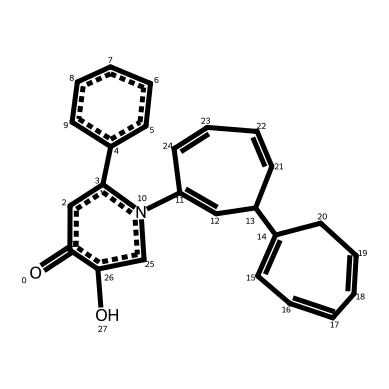 O=c1cc(-c2ccccc2)n(C2=CC(C3=CC=CC=CC3)C=CC=C2)cc1O